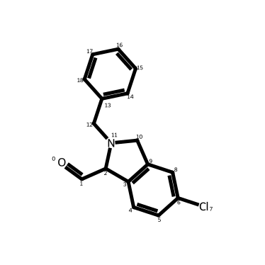 O=CC1c2ccc(Cl)cc2CN1Cc1ccccc1